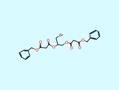 O=C(CC(=O)OCC(CBr)OC(=O)CC(=O)OCc1ccccc1)OCc1ccccc1